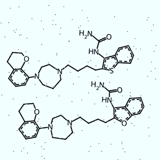 NC(=O)Nc1c(CCCCN2CCCN(c3cccc4c3OCCC4)CC2)oc2ccccc12.NC(=O)Nc1c(CCCCN2CCCN(c3cccc4c3OCCC4)CC2)sc2ccccc12